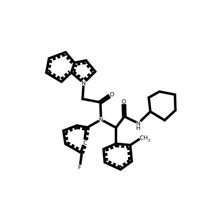 Cc1ccccc1C(C(=O)NC1CCCCC1)N(C(=O)Cn1ccc2ccccc21)c1cccc(F)c1